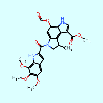 COC(=O)c1c[nH]c2c(OC=O)cc3c(c12)C(C)CN3C(=O)c1cc2cc(OC)c(OC)c(OC)c2[nH]1